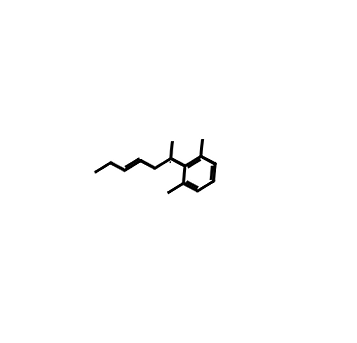 CCC=CC[C](C)c1c(C)cccc1C